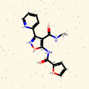 CCCCNC(=O)c1c(-c2ccccn2)noc1NC(=O)c1ccco1